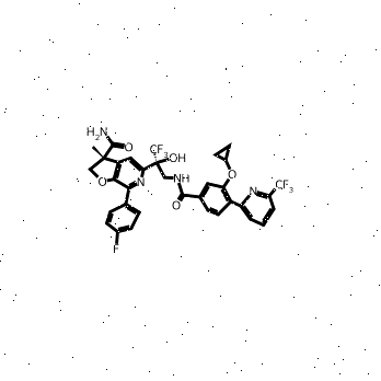 C[C@]1(C(N)=O)COc2c1cc([C@@](O)(CNC(=O)c1ccc(-c3cccc(C(F)(F)F)n3)c(OC3CC3)c1)C(F)(F)F)nc2-c1ccc(F)cc1